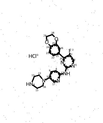 Cl.Fc1cnc(Nc2ccc(N3CCNCC3)cn2)nc1-c1ccc2c(c1)OCCO2